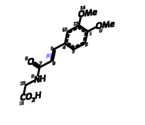 COc1ccc(/C=C/C(=O)NCC(=O)O)cc1OC